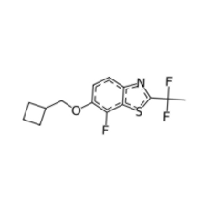 CC(F)(F)c1nc2ccc(OCC3CCC3)c(F)c2s1